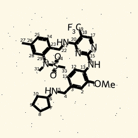 COc1cc(CNC2CCCC2)ccc1Nc1ncc(C(F)(F)F)c(NCc2ccc(C)cc2N(C)S(C)(=O)=O)n1